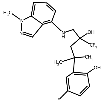 Cn1ncc2c(NCC(O)(CC(C)(C)c3cc(F)ccc3O)C(F)(F)F)cccc21